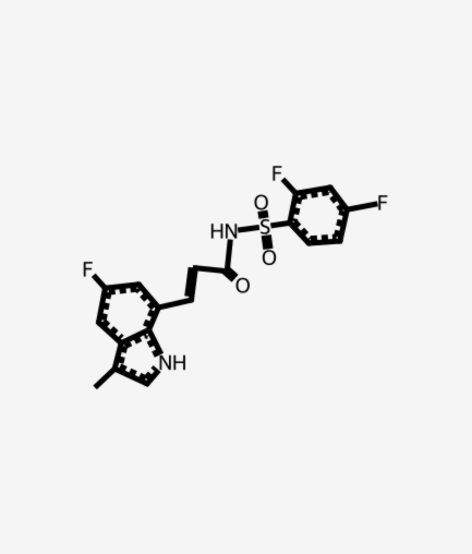 Cc1c[nH]c2c(C=CC(=O)NS(=O)(=O)c3ccc(F)cc3F)cc(F)cc12